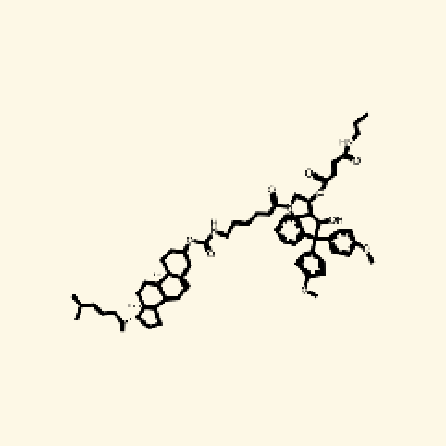 CCCNC(=O)CCC(=O)OC1CN(C(=O)CCCCCNC(=O)OC2CC[C@@]3(C)C(=CCC4C3CC[C@@]3(C)C4CC[C@@H]3C(C)CCCC(C)C)C2)CC1C(O)C(c1ccccc1)(c1ccc(OC)cc1)c1ccc(OC)cc1